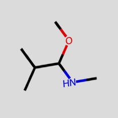 CNC(OC)C(C)C